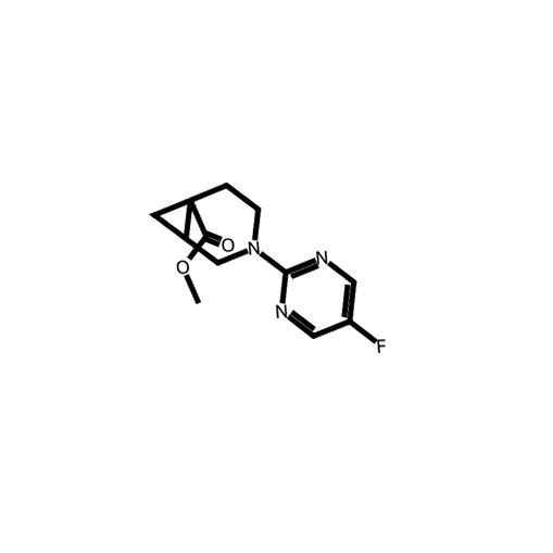 COC(=O)C12CCN(c3ncc(F)cn3)CC1C2